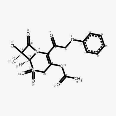 CC(=O)OC1=C(C(=O)COc2ccccc2)N2C(=O)[C@](C)(Cl)[C@@H]2S(=O)(=O)C1